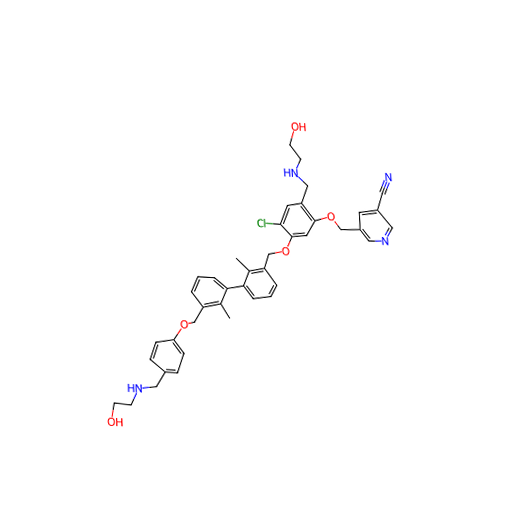 Cc1c(COc2ccc(CNCCO)cc2)cccc1-c1cccc(COc2cc(OCc3cncc(C#N)c3)c(CNCCO)cc2Cl)c1C